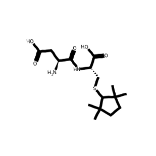 CC1(C)CCC(C)(C)C1SC[C@H](NC(=O)[C@@H](N)CC(=O)O)C(=O)O